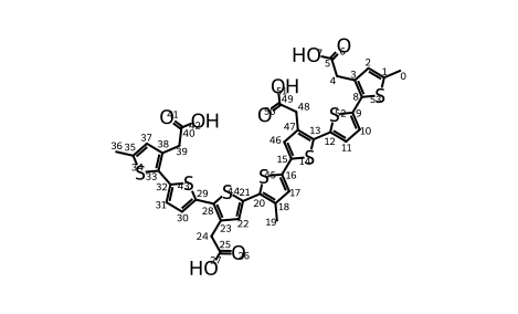 Cc1cc(CC(=O)O)c(-c2ccc(-c3sc(-c4cc(C)c(-c5cc(CC(=O)O)c(-c6ccc(-c7sc(C)cc7CC(=O)O)s6)s5)s4)cc3CC(=O)O)s2)s1